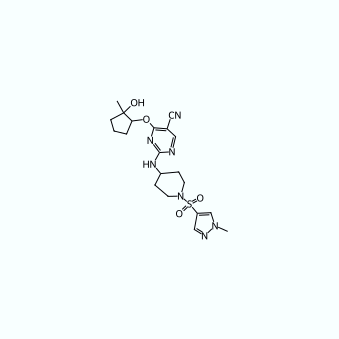 Cn1cc(S(=O)(=O)N2CCC(Nc3ncc(C#N)c(OC4CCCC4(C)O)n3)CC2)cn1